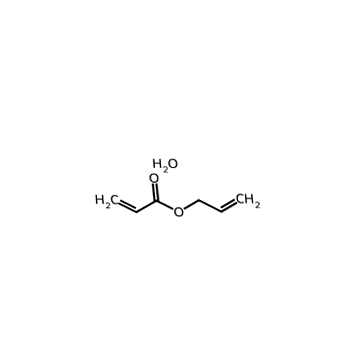 C=CCOC(=O)C=C.O